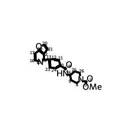 COC(=O)N1CCC(NC(=O)c2ccc(-c3nccc4occc34)cc2)CC1